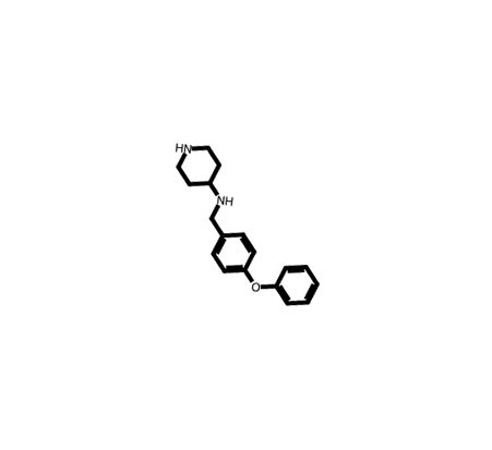 c1ccc(Oc2ccc(CNC3CCNCC3)cc2)cc1